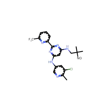 Cc1ncc(Nc2cc(NCC(C)(C)N=O)nc(-c3cccc(C(F)(F)F)n3)n2)cc1Cl